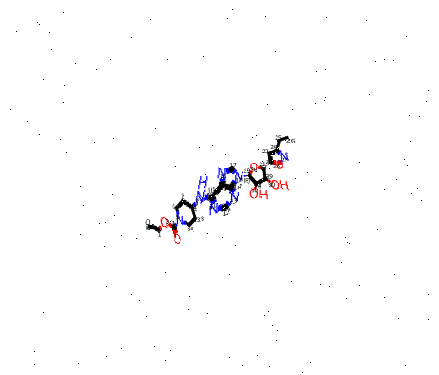 CCOC(=O)N1CCC(Nc2ncnc3c2ncn3[C@@H]2O[C@H](c3cc(CC)no3)[C@@H](O)[C@H]2O)CC1